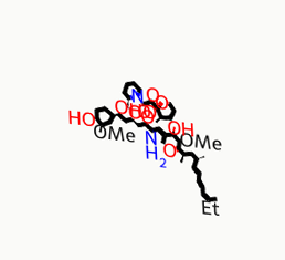 CC/C(C)=C/C=C/C=C/[C@@H](C)C[C@@H](C)C(=O)[C@H](OC)[C@H](O)/C(C)=C/[C@@H](N)C(=O)C[C@@H](CC[C@@H]1CC[C@@H](O)[C@H](OC)C1)OC(=O)[C@@H]1CCCCN1C(=O)C(=O)[C@]1(O)OCCC[C@H]1C